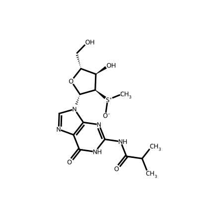 CC(C)C(=O)Nc1nc2c(ncn2[C@@H]2O[C@H](CO)[C@@H](O)[C@H]2[S+](C)[O-])c(=O)[nH]1